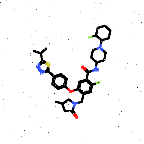 CC1CC(=O)N(Cc2cc(F)c(C(=O)NC3CCN(C4CCCCC4F)CC3)cc2Oc2ccc(-c3nnc(C(C)C)s3)cc2)C1